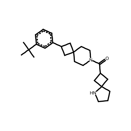 CC(C)(C)c1cccc(C2CC3(CCN(C(=O)C4CC5(CCCN5)C4)CC3)C2)c1